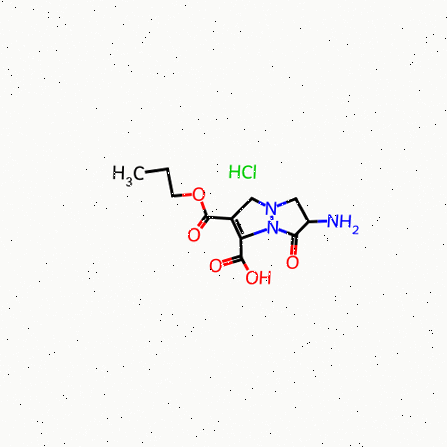 CCCOC(=O)C1=C(C(=O)O)N2C(=O)C(N)CN2C1.Cl